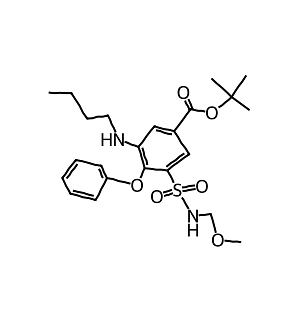 CCCCNc1cc(C(=O)OC(C)(C)C)cc(S(=O)(=O)NCOC)c1Oc1ccccc1